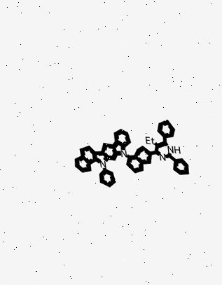 CCC1=C(c2ccccc2)NC(c2ccccc2)N=C1c1ccc2c(-n3c4ccccc4c4cc5c6ccc7ccccc7c6n(-c6ccccc6)c5cc43)cccc2c1